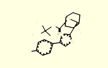 CC(C)(C)OC(=O)N1C2CCC(CC2)[C@H]1c1ncc(-c2ccc(Br)cc2)[nH]1